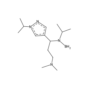 BN(C(C)C)C(CCN(C)C)c1cnn(C(C)C)c1